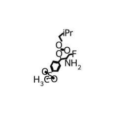 CC(C)CCOC(=O)O[C@H](c1ccc(S(C)(=O)=O)cc1)[C@H](N)CF